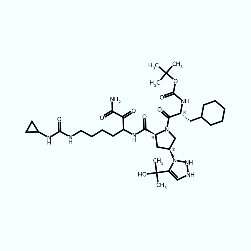 CC(C)(C)OC(=O)N[C@H](CC1CCCCC1)C(=O)N1C[C@@H](N2NNC=C2C(C)(C)O)C[C@H]1C(=O)NC(CCCCNC(=O)NC1CC1)C(=O)C(N)=O